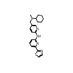 CN(Cc1ccc(Nc2cccc(-c3nccs3)n2)nc1)C1CCCCC1